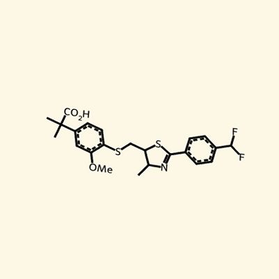 COc1cc(C(C)(C)C(=O)O)ccc1SCC1SC(c2ccc(C(F)F)cc2)=NC1C